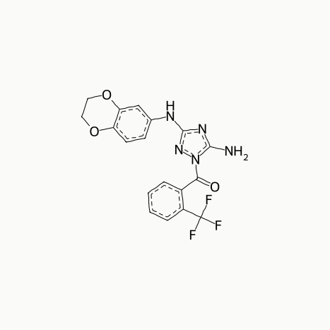 Nc1nc(Nc2ccc3c(c2)OCCO3)nn1C(=O)c1ccccc1C(F)(F)F